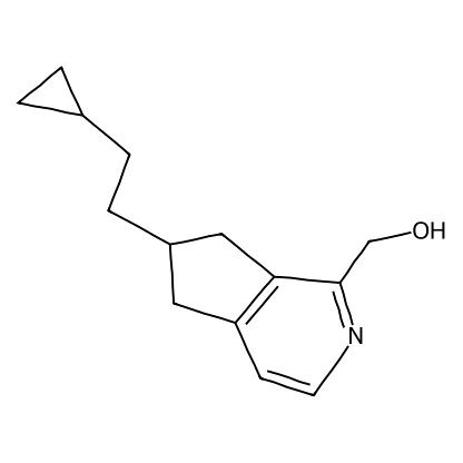 OCc1nccc2c1CC(CCC1CC1)C2